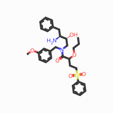 CCCOC(CCS(=O)(=O)c1ccccc1)C(=O)N(Cc1cccc(OC)c1)C[C@@H](O)[C@@H](N)Cc1ccccc1